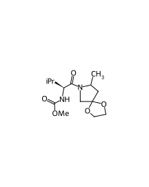 COC(=O)N[C@H](C(=O)N1CC2(CC1C)OCCO2)C(C)C